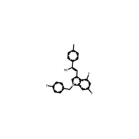 Cc1ccc(/C(C#N)=C/c2cn(Cc3ccc(F)cc3)c3cc(F)cc(F)c23)cc1